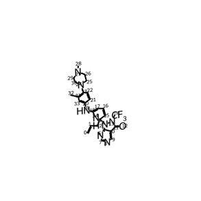 C=CCC1(n2c3ncncc3c(=O)n2C(F)(F)F)C=CC=C(Nc2ccc(N3CCN(C)CC3)c(C)c2)N1